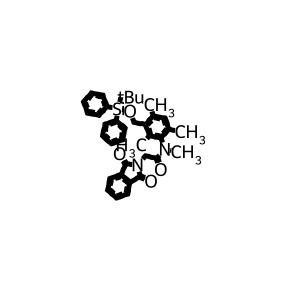 Cc1cc(C)c(N(C)C(=O)CN2C(=O)c3ccccc3C2=O)c(C)c1CO[Si](c1ccccc1)(c1ccccc1)C(C)(C)C